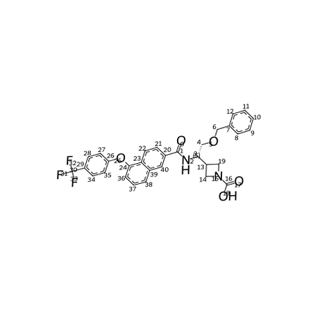 O=C(N[C@H](COCc1ccccc1)C1CN(C(=O)O)C1)c1ccc2c(Oc3ccc(C(F)(F)F)cc3)cccc2c1